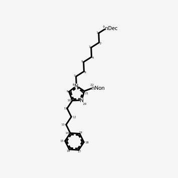 CCCCCCCCCCCCCCCCCn1cc(CCCc2ccccc2)nc1CCCCCCCCC